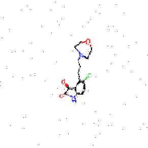 O=C1Nc2ccc(Cl)c(CCCN3CCOCC3)c2C1=O